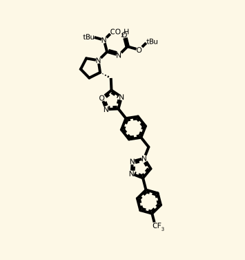 CC(C)(C)OC(=O)N=C(N1CCC[C@H]1Cc1nc(-c2ccc(Cn3cc(-c4ccc(C(F)(F)F)cc4)nn3)cc2)no1)N(C(=O)O)C(C)(C)C